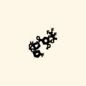 COc1cc(C(=O)N2CC[C@]3(c4cccc(F)c4)OCO[C@@H]3C2)ccc1OC(C)C(F)(F)C(F)F